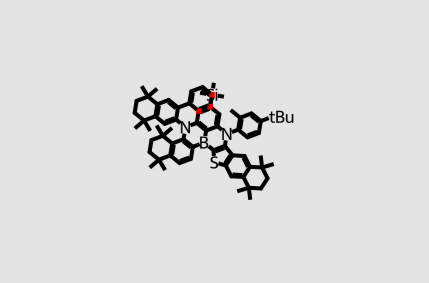 Cc1cc(C(C)(C)C)ccc1N1c2cc([Si](C)(C)C)cc3c2B(c2ccc4c(c2N3c2cc3c(cc2-c2ccccc2)C(C)(C)CCC3(C)C)C(C)(C)CCC4(C)C)c2sc3cc4c(cc3c21)C(C)(C)CCC4(C)C